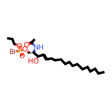 CCCCCCCCCCCCC/C=C/[C@@H](O)[C@H](COP(=O)(Br)OCCC)NC(C)=O